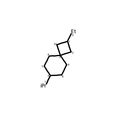 CCC1CC2(CCC(C(C)C)CC2)C1